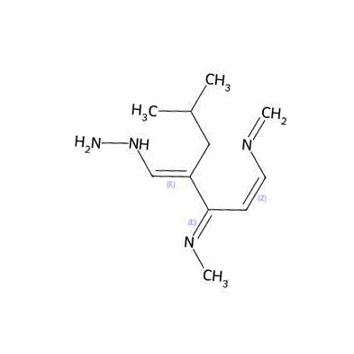 C=N\C=C/C(=N\C)C(=C/NN)/CC(C)C